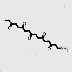 [CH2]CC(=O)CCC(=O)CCC(=O)CCC(=O)CCC(=O)CCN